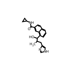 CC(Cc1c[nH]cn1)C(O)c1cccc2ccc(C(=O)NC3CC3)cc12